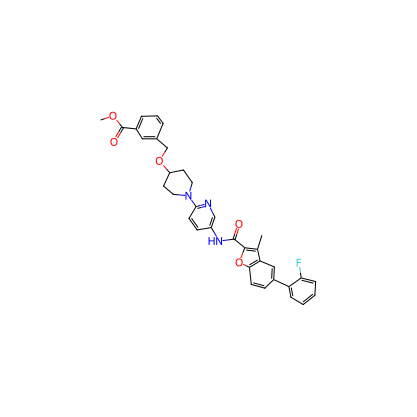 COC(=O)c1cccc(COC2CCN(c3ccc(NC(=O)c4oc5ccc(-c6ccccc6F)cc5c4C)cn3)CC2)c1